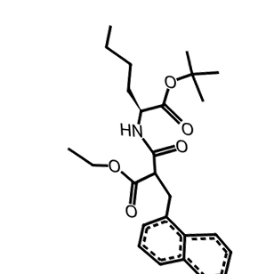 CCCC[C@H](NC(=O)C(Cc1cccc2ccccc12)C(=O)OCC)C(=O)OC(C)(C)C